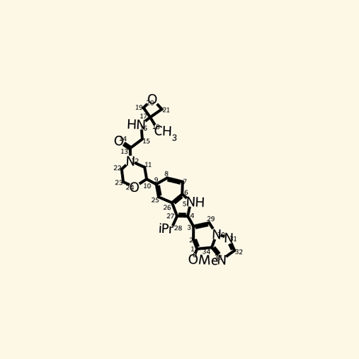 COc1cc(-c2[nH]c3ccc(C4CN(C(=O)CNC5(C)COC5)CCO4)cc3c2C(C)C)cn2ncnc12